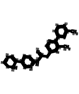 Cc1cc(-c2ncc(CC(=O)Nc3ccc(C4=CN=CCN4)cn3)cc2C)ccn1